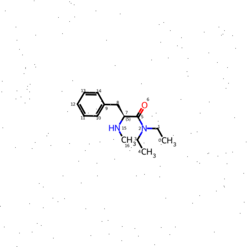 CCN(CC)C(=O)[C@H](Cc1ccccc1)NC